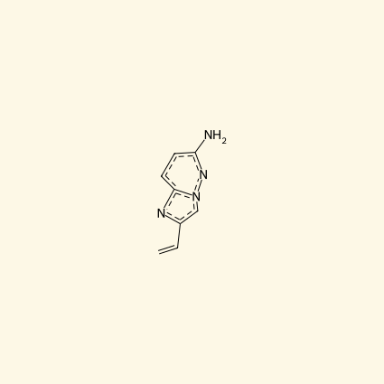 C=Cc1cn2nc(N)ccc2n1